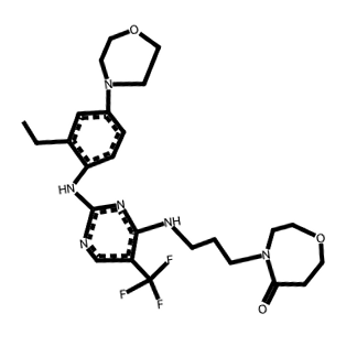 CCc1cc(N2CCOCC2)ccc1Nc1ncc(C(F)(F)F)c(NCCCN2CCOCCC2=O)n1